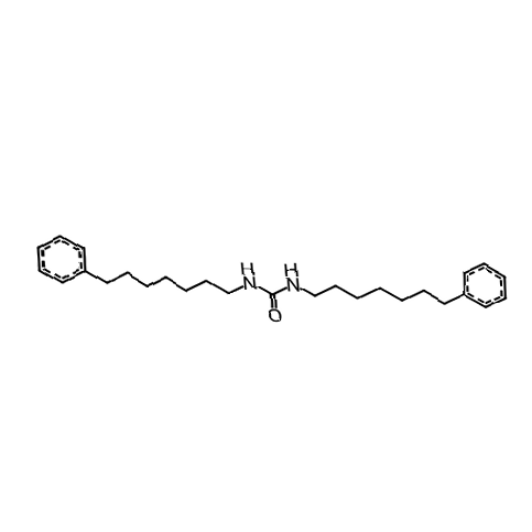 O=C(NCCCCCCCc1ccccc1)NCCCCCCCc1ccccc1